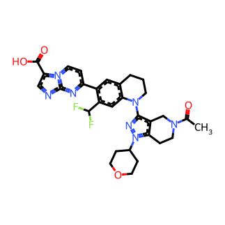 CC(=O)N1CCc2c(c(N3CCCc4cc(-c5ccn6c(C(=O)O)cnc6n5)c(C(F)F)cc43)nn2C2CCOCC2)C1